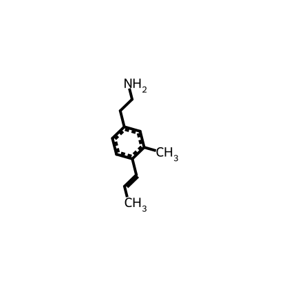 CC=Cc1ccc(CCN)cc1C